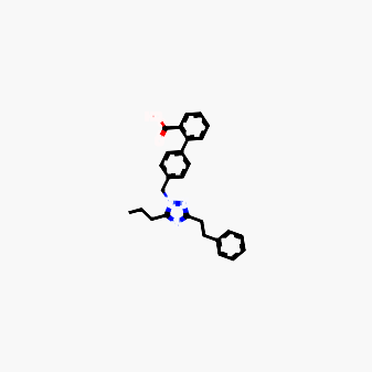 CCCc1nc(CCc2ccccc2)nn1Cc1ccc(-c2ccccc2C(=O)O)cc1